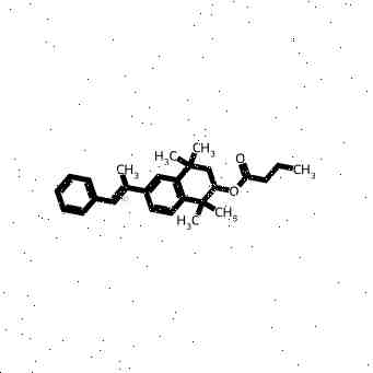 CCCC(=O)OC1CC(C)(C)c2cc(/C(C)=C/c3ccccc3)ccc2C1(C)C